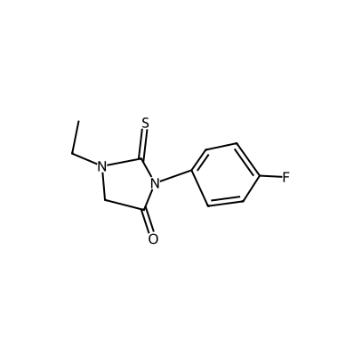 CCN1CC(=O)N(c2ccc(F)cc2)C1=S